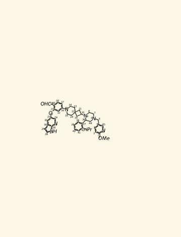 COc1ccc(CN2CCN(C3CC4(CCN(c5ccc(C=O)c(Oc6cnc7[nH]ccc7c6)c5)CC4)C3)C(c3ccccc3C(C)C)C2)cn1